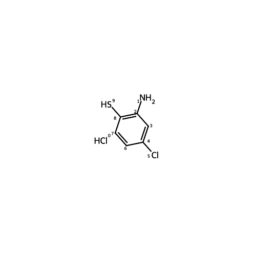 Cl.Nc1cc(Cl)ccc1S